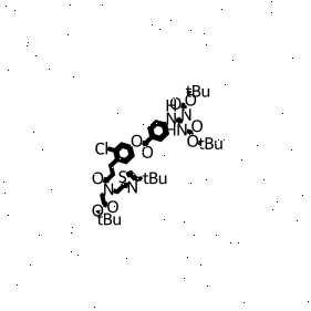 CC(C)(C)OC(=O)CN(Cc1nc(C(C)(C)C)cs1)C(=O)CCc1ccc(OC(=O)c2ccc(N/C(=N\C(=O)OC(C)(C)C)NC(=O)OC(C)(C)C)cc2)cc1Cl